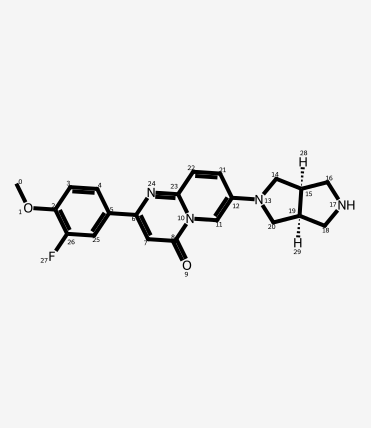 COc1ccc(-c2cc(=O)n3cc(N4C[C@H]5CNC[C@H]5C4)ccc3n2)cc1F